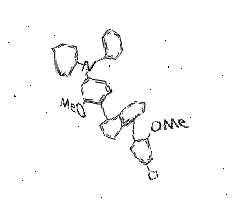 COc1cc(Cl)ccc1-c1cccc2c(-c3ccc(N(c4ccccc4)c4ccccc4)cc3OC)cccc12